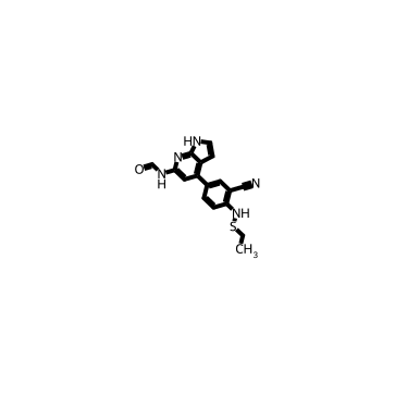 CCSNc1ccc(-c2cc(NC=O)nc3[nH]ccc23)cc1C#N